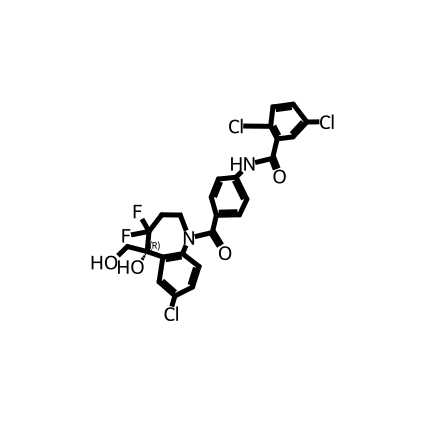 O=C(Nc1ccc(C(=O)N2CCC(F)(F)[C@](O)(CO)c3cc(Cl)ccc32)cc1)c1cc(Cl)ccc1Cl